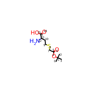 CC(C)(C)OC(=O)CSCC[C@@H](N)C(=O)O